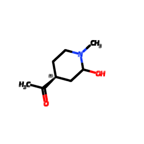 CC(=O)[C@H]1CCN(C)C(O)C1